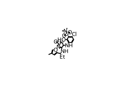 CC[C@@H](Nc1n[s+]([O-])nc1Nc1ccc(Cl)c(S(=O)(=O)N(C)C)c1O)c1cc(C)co1